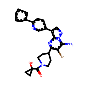 Nc1c(Br)c(C2CCN(C(=O)C3(O)CC3)CC2)nc2c(-c3ccc(-c4ccccc4)nc3)cnn12